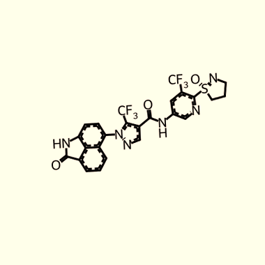 O=C(Nc1cnc(S2(=O)=NCCC2)c(C(F)(F)F)c1)c1cnn(-c2ccc3c4c(cccc24)C(=O)N3)c1C(F)(F)F